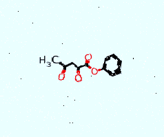 CC(=O)CC(=O)C(=O)Oc1ccccc1